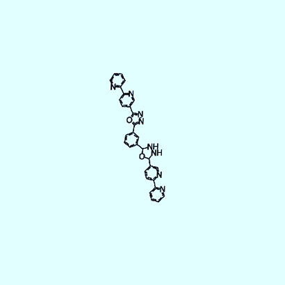 c1ccc(-c2ccc(-c3nnc(-c4cccc(C5NNC(c6ccc(-c7ccccn7)nc6)O5)c4)o3)cn2)nc1